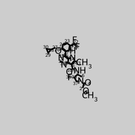 COCC(=O)N1C[C@H](NC(=O)c2c(C)[nH]c3c(-c4cc(C(F)F)ccc4OCC4CC4)ncnc23)[C@@H](F)C1